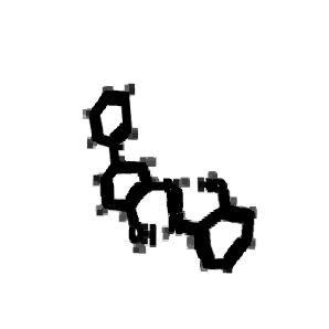 Oc1ccccc1N=Nc1cc(-c2ccccc2)ccc1O